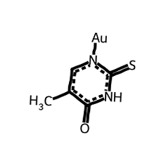 Cc1c[n]([Au])c(=S)[nH]c1=O